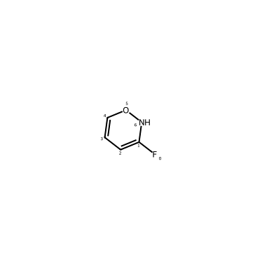 FC1=CC=CON1